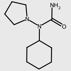 NC(=O)N(C1CCCCC1)N1CCCC1